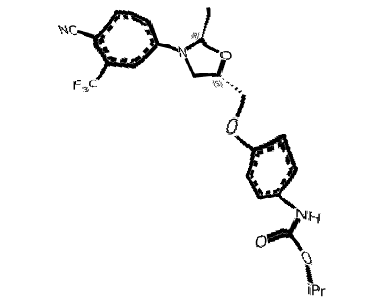 CC(C)OC(=O)Nc1ccc(OC[C@@H]2CN(c3ccc(C#N)c(C(F)(F)F)c3)[C@@H](C)O2)cc1